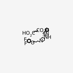 Fc1ccc(OCCCCN2CCC(NC3=Nc4ccccc4CS3)CC2)cc1F.O=C(O)C=CC(=O)O